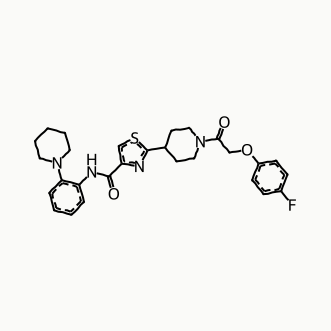 O=C(Nc1ccccc1N1CCCCC1)c1csc(C2CCN(C(=O)COc3ccc(F)cc3)CC2)n1